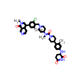 COc1cc(-c2cn(C)c(=O)c3cnccc23)cc(Cl)c1CN1CCC(N(C)C(=O)N2CCC(c3ccc(NC4CCC(=O)NC4=O)cc3C(F)(F)F)CC2)CC1